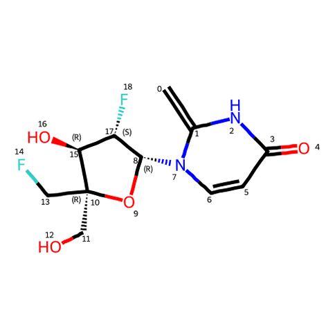 C=C1NC(=O)C=CN1[C@@H]1O[C@@](CO)(CF)[C@@H](O)[C@@H]1F